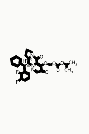 CC(C)OC(=O)OCOc1c2n(ncc1=O)[C@@H](C(c1ccccc1)c1cccc(F)c1F)[C@H]1CCCN1C2=O